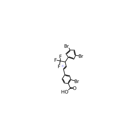 O=C(O)c1ccc(/C=C/C(c2cc(Br)cc(Br)c2)C(F)(F)F)cc1Br